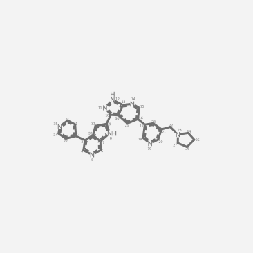 c1cc(-c2cncc3[nH]c(-c4n[nH]c5ncc(-c6cncc(CN7CCCC7)c6)cc45)cc23)ccn1